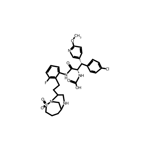 COc1ccc([C@H](c2ccc(Cl)cc2)[C@H](NC(=O)O)C(=O)Nc2cccc(F)c2CCC2CNC3CCCS(=O)(=O)N2C3)cn1